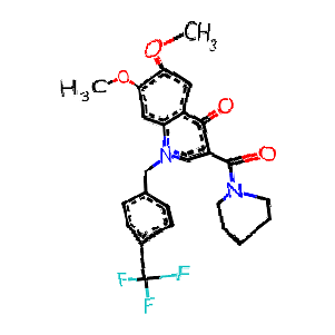 COc1cc2c(=O)c(C(=O)N3CCCCC3)cn(Cc3ccc(C(F)(F)F)cc3)c2cc1OC